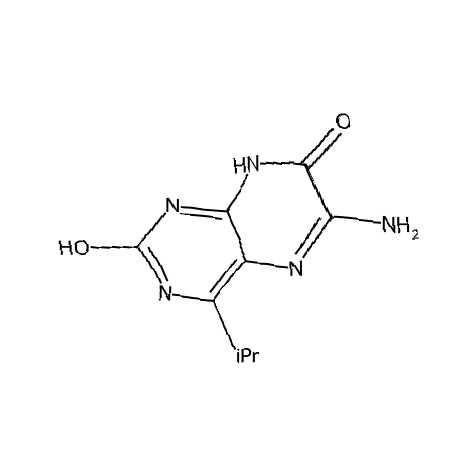 CC(C)c1nc(O)nc2[nH]c(=O)c(N)nc12